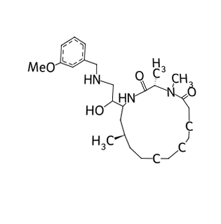 COc1cccc(CNCC(O)C2C[C@H](C)CCCCCCCCC(=O)N(C)[C@@H](C)C(=O)N2)c1